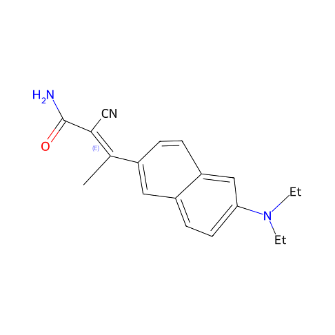 CCN(CC)c1ccc2cc(/C(C)=C(\C#N)C(N)=O)ccc2c1